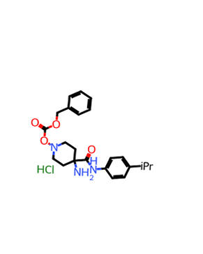 CC(C)c1ccc(NC(=O)C2(N)CCN(OC(=O)OCc3ccccc3)CC2)cc1.Cl